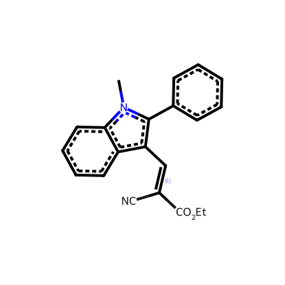 CCOC(=O)/C(C#N)=C/c1c(-c2ccccc2)n(C)c2ccccc12